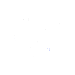 CCCc1[nH]ccc1C1CCNC(c2ccccc2)C1